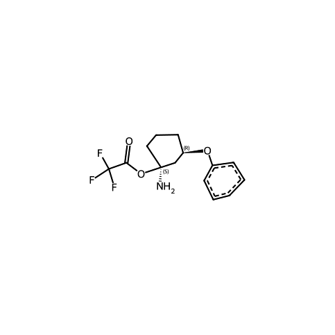 N[C@]1(OC(=O)C(F)(F)F)CCC[C@@H](Oc2ccccc2)C1